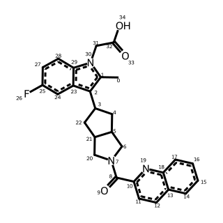 Cc1c(C2CC3CN(C(=O)c4ccc5ccccc5n4)CC3C2)c2cc(F)ccc2n1CC(=O)O